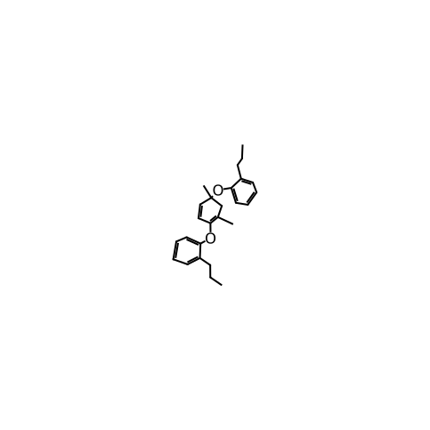 CCCc1ccccc1OC1=C(C)CC(C)(Oc2ccccc2CCC)C=C1